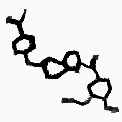 COC[C@@H]1CN(C(=O)c2ccc3cc(Oc4ccc(C(F)F)cn4)ccc3n2)CCN1C(=O)O